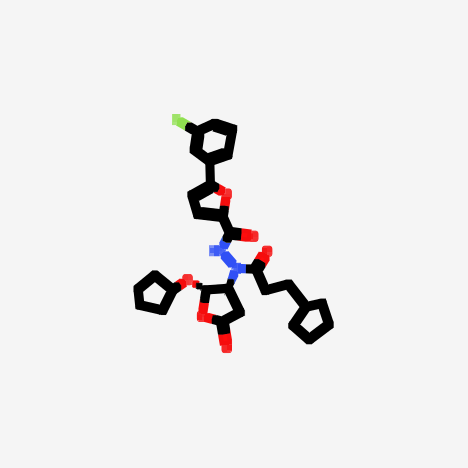 O=C1C[C@H](N(NC(=O)c2ccc(-c3cccc(F)c3)o2)C(=O)CCC2CCCC2)[C@@H](OC2CCCC2)O1